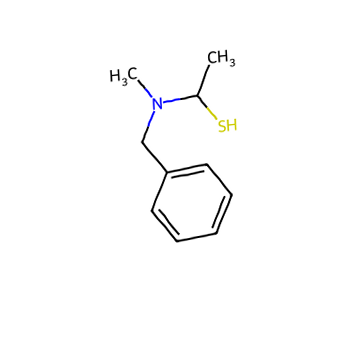 CC(S)N(C)Cc1ccccc1